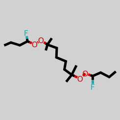 CCCC(F)OOC(C)(C)CCCCC(C)(C)OOC(F)CCC